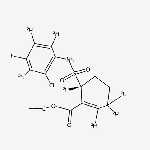 [2H]C1=C(C(=O)OCC)[C@]([2H])(S(=O)(=O)Nc2c([2H])c([2H])c(F)c([2H])c2Cl)CCC1([2H])[2H]